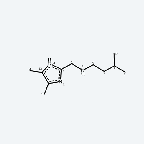 Cc1nc(CNCCC(C)C)[nH]c1C